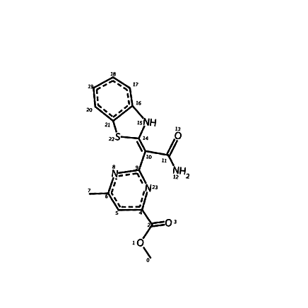 COC(=O)c1cc(C)nc(/C(C(N)=O)=C2/Nc3ccccc3S2)n1